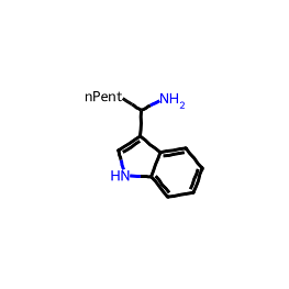 CCCCCC(N)c1c[nH]c2ccccc12